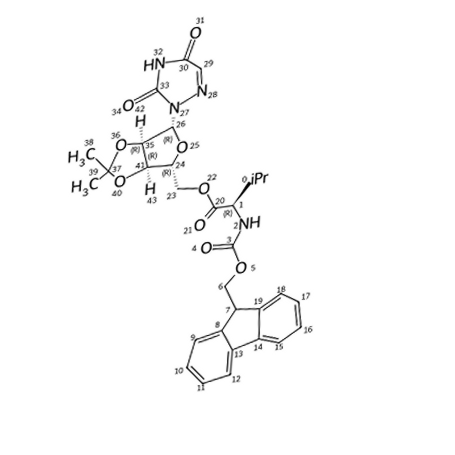 CC(C)[C@@H](NC(=O)OCC1c2ccccc2-c2ccccc21)C(=O)OC[C@H]1O[C@@H](n2ncc(=O)[nH]c2=O)[C@@H]2OC(C)(C)O[C@@H]21